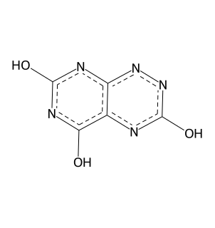 Oc1nc(O)c2nc(O)nnc2n1